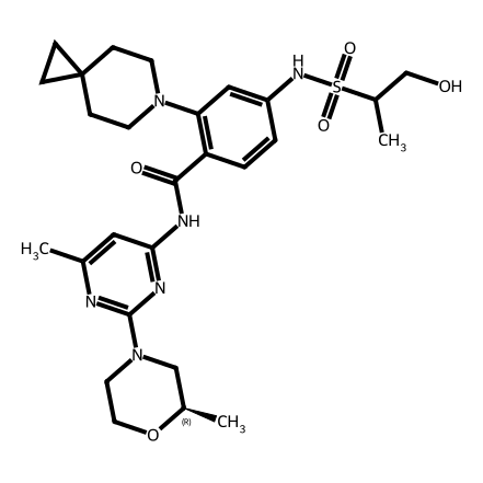 Cc1cc(NC(=O)c2ccc(NS(=O)(=O)C(C)CO)cc2N2CCC3(CC2)CC3)nc(N2CCO[C@H](C)C2)n1